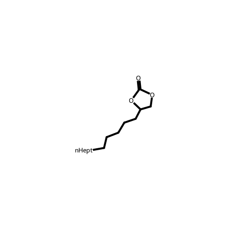 CCCCCCCCCCCCC1COC(=O)O1